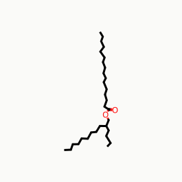 CCCCCCCCCCCCCCCC(=O)OCC(CCCC)CCCCCCCCC